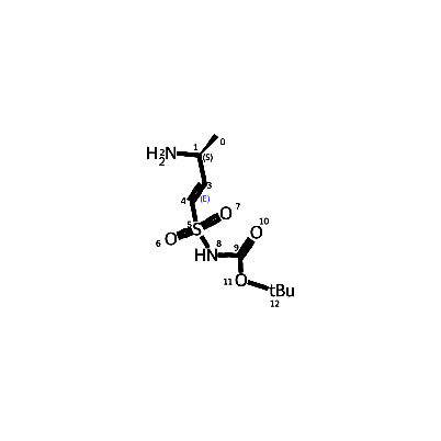 C[C@H](N)/C=C/S(=O)(=O)NC(=O)OC(C)(C)C